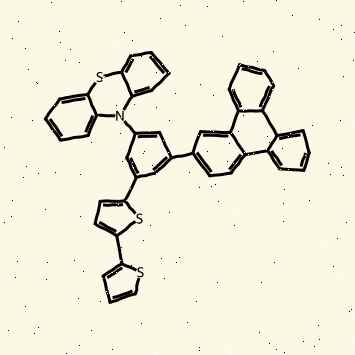 c1csc(-c2ccc(-c3cc(-c4ccc5c6ccccc6c6ccccc6c5c4)cc(N4c5ccccc5Sc5ccccc54)c3)s2)c1